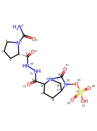 NC(=O)N1CCC[C@H]1C(=O)NNC(=O)C1CCC2CN1C(=O)N2OS(=O)(=O)O